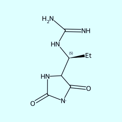 CC[C@H](NC(=N)N)C1NC(=O)[N]C1=O